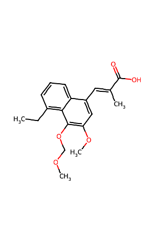 CCc1cccc2c(/C=C(\C)C(=O)O)cc(OC)c(OCOC)c12